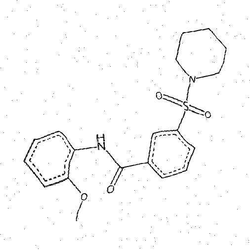 COc1ccccc1NC(=O)c1cccc(S(=O)(=O)N2CCCCC2)c1